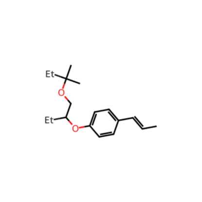 C/C=C/c1ccc(OC(CC)COC(C)(C)CC)cc1